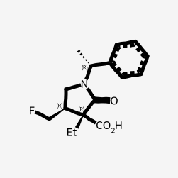 CC[C@]1(C(=O)O)C(=O)N([C@H](C)c2ccccc2)C[C@@H]1CF